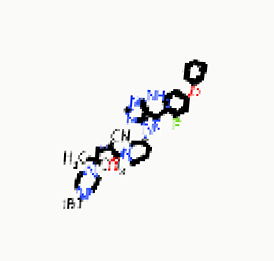 CC(C)(C)N1CCN(C(C)(C)/C=C(/C#N)C(=O)N2CCC[C@@H](n3nc(-c4ccc(Oc5ccccc5)cc4F)c4c(N)ncnc43)C2)CC1